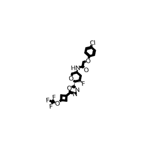 O=C(COc1ccc(Cl)cc1)N[C@@H]1CO[C@@H](c2nnc(C3CC(OC(F)(F)F)C3)o2)[C@@H](F)C1